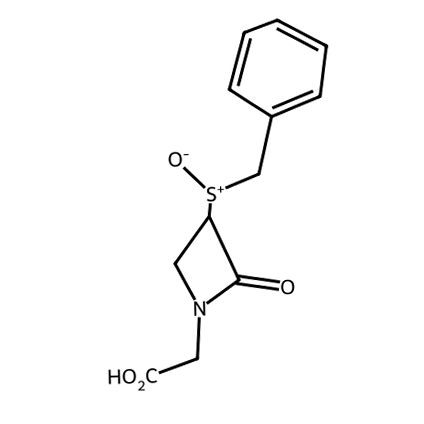 O=C(O)CN1CC([S+]([O-])Cc2ccccc2)C1=O